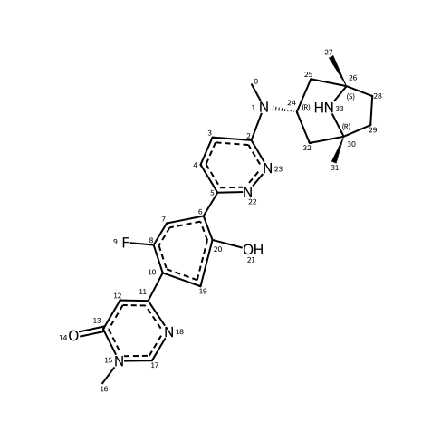 CN(c1ccc(-c2cc(F)c(-c3cc(=O)n(C)cn3)cc2O)nn1)[C@@H]1C[C@]2(C)CC[C@](C)(C1)N2